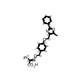 Cc1oc(-c2ccccc2)nc1COc1ccc(CO/N=C(/C(=O)O)C(C)C)cc1